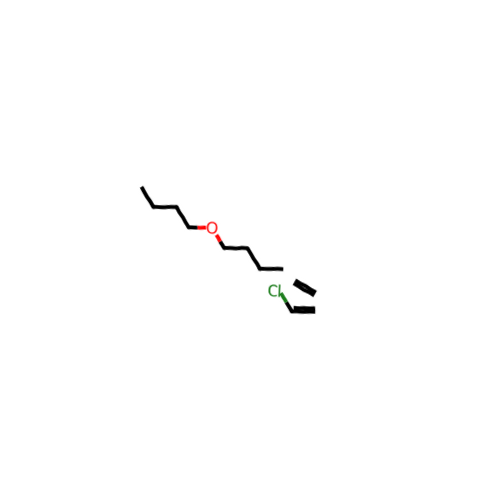 C=C.C=CCl.CCCCOCCCC